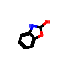 OC1Nc2ccccc2O1